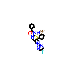 O=C(NC1=NCC2CN(c3ncc(F)cn3)CC2(c2cccc(Br)c2)S1)c1ccccc1